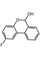 OC1Oc2ccc(F)cc2-c2ccccc21